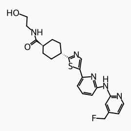 O=C(NCCO)[C@H]1CC[C@H](c2ncc(-c3cccc(Nc4cc(CF)ccn4)n3)s2)CC1